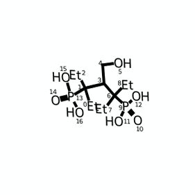 CCC(CC)(C(CO)C(CC)(CC)P(=O)(O)O)P(=O)(O)O